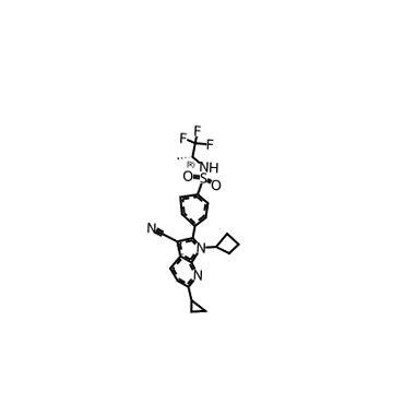 C[C@@H](NS(=O)(=O)c1ccc(-c2c(C#N)c3ccc(C4CC4)nc3n2C2CCC2)cc1)C(F)(F)F